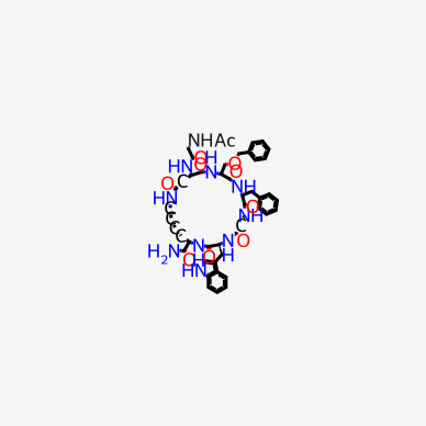 CC(=O)NCC(=O)NC1CC(=O)NCCCCC(C(N)=O)NC(=O)[C@H](Cc2c[nH]c3ccccc23)NC(=O)CNC(=O)C(Cc2ccccc2)NC(=O)C(COCc2ccccc2)NC1=O